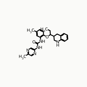 CCC(Oc1ccc(C)cc1NC(=O)Nc1cnc(C)cn1)C1CNc2ccccc2C1